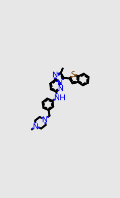 Cc1nc2ccc(Nc3cccc(CN4CCN(C)CC4)c3)nn2c1-c1cc2ccccc2s1